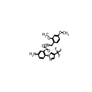 COc1ccc(CNS(=O)(=O)c2cc(N)ccc2-n2cc(C(F)(F)F)cn2)c(OC)c1